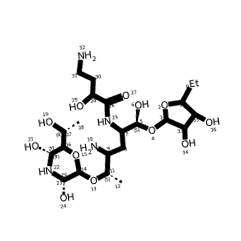 CCC1OC(O[C@H](O)C(CC(N)[C@H](C)OC2OC([C@@H](C)O)[C@@H](O)N[C@H]2O)NC(=O)C(O)CCN)C(O)C1O